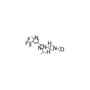 Cc1ncc(-c2cn([C@H]3[C@@H]4CN(C5COC5)C[C@@H]43)c(C(C)C)n2)cc1C(F)(F)F